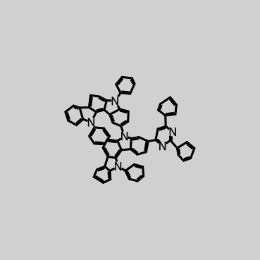 c1ccc(-c2cc(-c3ccc4c5c(ccc6c7ccccc7n(-c7ccccc7)c65)n(-c5ccc6c(c5)c5c(ccc7c8ccccc8n(-c8ccccc8)c75)n6-c5ccccc5)c4c3)nc(-c3ccccc3)n2)cc1